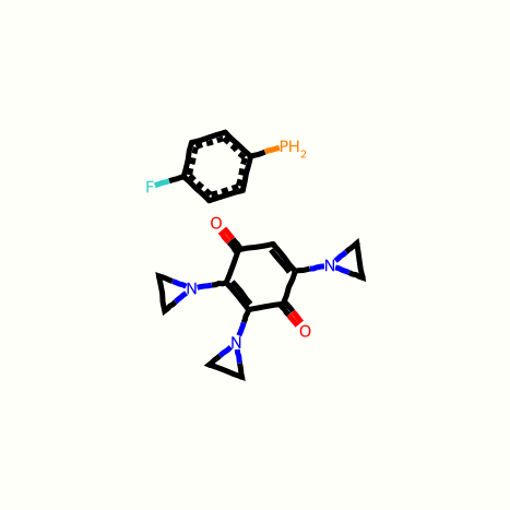 Fc1ccc(P)cc1.O=C1C=C(N2CC2)C(=O)C(N2CC2)=C1N1CC1